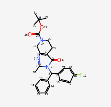 Cc1nc2c(c(=O)n1C(c1ccccc1)c1ccc(F)cc1)CCN(C(=O)OC(C)(C)C)C2